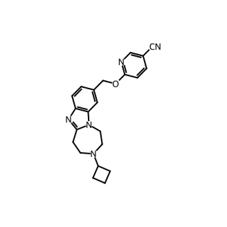 N#Cc1ccc(OCc2ccc3nc4n(c3c2)CCN(C2CCC2)CC4)nc1